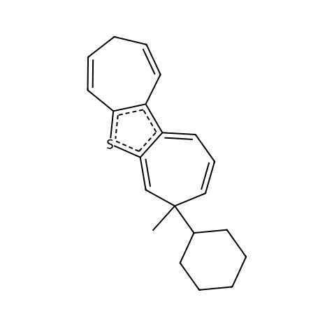 CC1(C2CCCCC2)C=CC=c2c3c(sc2=C1)C=CCC=C3